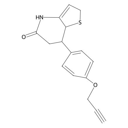 C#CCOc1ccc(C2CC(=O)NC3=CCSC32)cc1